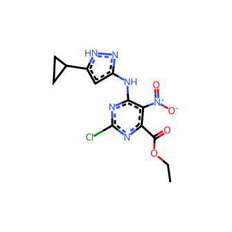 CCOC(=O)c1nc(Cl)nc(Nc2cc(C3CC3)[nH]n2)c1[N+](=O)[O-]